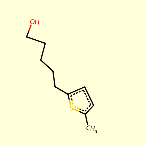 Cc1ccc(CCCCCO)s1